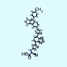 Cc1ccc(N2c3ccc(-c4cnc(-c5ccc(-c6ncc(/C=C(\C#N)C(=O)O)s6)c6nsnc56)s4)cc3C3CCCC32)cc1